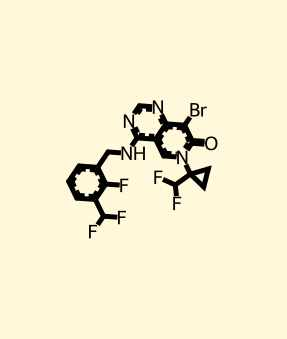 O=c1c(Br)c2ncnc(NCc3cccc(C(F)F)c3F)c2cn1C1(C(F)F)CC1